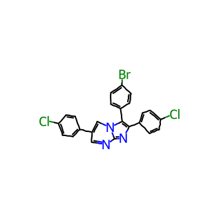 Clc1ccc(-c2cnc3nc(-c4ccc(Cl)cc4)c(-c4ccc(Br)cc4)n3c2)cc1